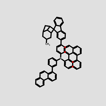 CC1CC2CC3C2C(C1)C31c2ccccc2-c2ccc(-c3ccc(N(c4cccc(-c5cccc6c5ccc5ccccc56)c4)c4ccccc4-c4cccc5cccc(-c6ccccc6)c45)cc3)cc21